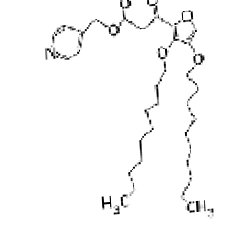 CCCCCCCCCCOc1coc(C(=O)CC(=O)OCc2ccncc2)c1OCCCCCCCCCC